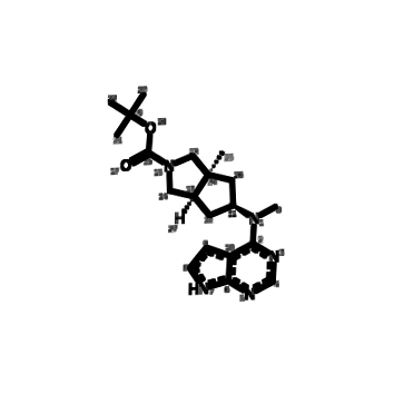 CN(c1ncnc2[nH]ccc12)[C@H]1C[C@H]2CN(C(=O)OC(C)(C)C)C[C@@]2(C)C1